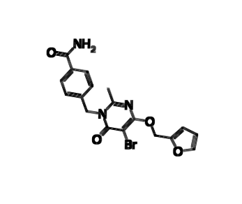 Cc1nc(OCc2ccco2)c(Br)c(=O)n1Cc1ccc(C(N)=O)cc1